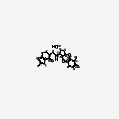 Cc1cc2c(s1)CCC(CNC1CCC(Oc3cccc(C)c3C)C1O)C2=O.Cl